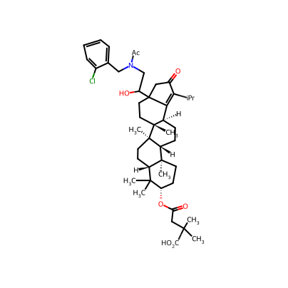 CC(=O)N(Cc1ccccc1Cl)CC(O)C12CC[C@]3(C)[C@H](CC[C@@H]4[C@@]5(C)CC[C@H](OC(=O)CC(C)(C)C(=O)O)C(C)(C)[C@@H]5CC[C@]43C)C1=C(C(C)C)C(=O)C2